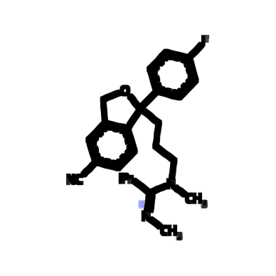 C/N=C(/C(C)C)N(C)CCCC1(c2ccc(F)cc2)OCc2cc(C#N)ccc21